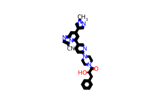 Cn1cc(-c2cc(-c3ccc(N4CCN(C(=O)[C@H](O)Cc5ccccc5)CC4)nc3)n3c(C#N)cnc3c2)cn1